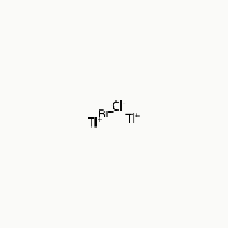 [Br-].[Cl-].[Tl+].[Tl+]